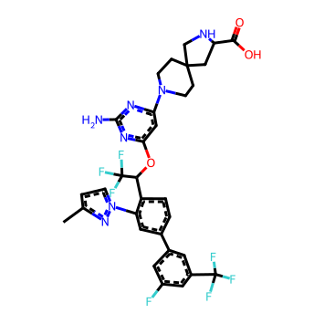 Cc1ccn(-c2cc(-c3cc(F)cc(C(F)(F)F)c3)ccc2C(Oc2cc(N3CCC4(CC3)CNC(C(=O)O)C4)nc(N)n2)C(F)(F)F)n1